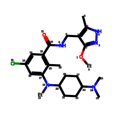 CCOc1n[nH]c(C)c1CNC(=O)c1cc(Cl)cc(N(CC)C2CCC(N(C)C)CC2)c1C